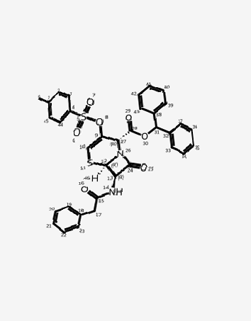 Cc1ccc(S(=O)(=O)OC2=CS[C@@H]3[C@H](NC(=O)Cc4ccccc4)C(=O)N3[C@H]2C(=O)OC(c2ccccc2)c2ccccc2)cc1